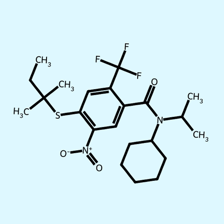 CCC(C)(C)Sc1cc(C(F)(F)F)c(C(=O)N(C(C)C)C2CCCCC2)cc1[N+](=O)[O-]